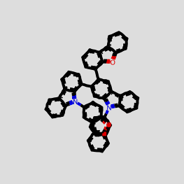 c1ccc(-n2c3ccccc3c3cc(-c4cccc5c4oc4ccccc45)c(-c4cccc5c6ccccc6n(-c6ccc7oc8ccccc8c7c6)c45)cc32)cc1